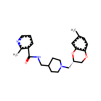 Cc1ccc2c(c1)O[C@@H](CN1CCC(CNC(=O)c3cccnc3C)CC1)CO2